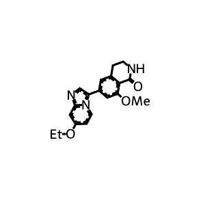 CCOc1ccn2c(-c3cc4c(c(OC)c3)C(=O)NCC4)cnc2c1